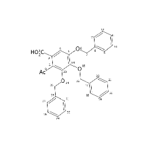 CC(=O)c1c(C(=O)O)cc(OCc2ccccc2)c(OCc2ccccc2)c1OCc1ccccc1